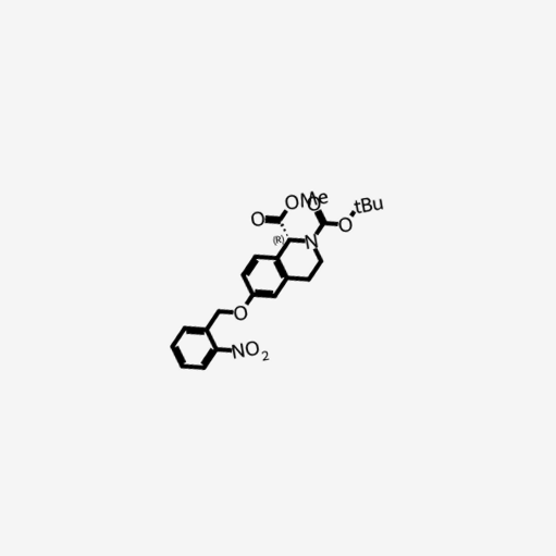 COC(=O)[C@H]1c2ccc(OCc3ccccc3[N+](=O)[O-])cc2CCN1C(=O)OC(C)(C)C